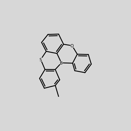 Cc1ccc2c(c1)B1c3ccccc3Oc3cccc(c31)S2